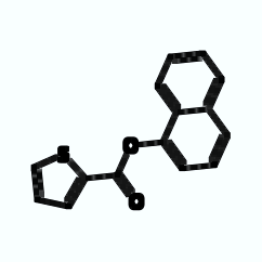 O=C(Oc1cccc2ccccc12)c1cccs1